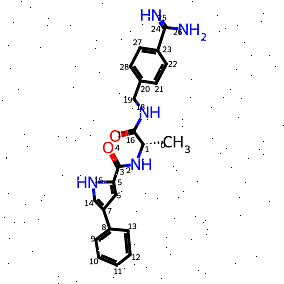 C[C@H](NC(=O)c1cc(-c2ccccc2)c[nH]1)C(=O)NCc1ccc(C(=N)N)cc1